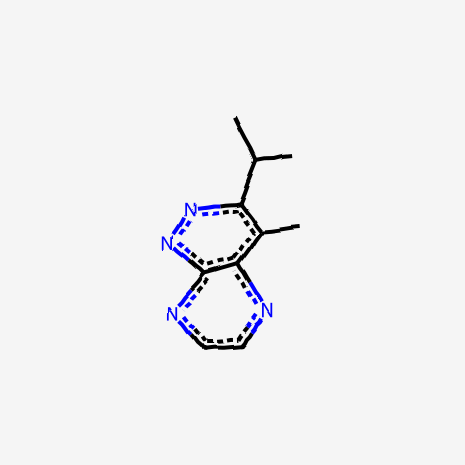 Cc1c(C(C)C)nnc2nccnc12